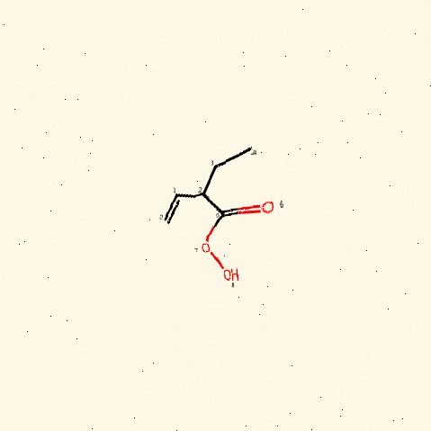 C=CC(CC)C(=O)OO